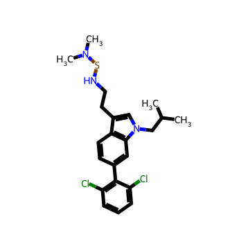 CC(C)Cn1cc(CCNSN(C)C)c2ccc(-c3c(Cl)cccc3Cl)cc21